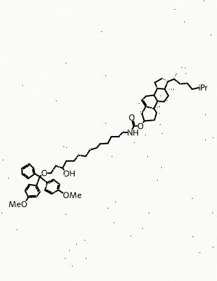 COc1ccc(C(OCCC(O)CCCCCCCCCCCNC(=O)OC2CC[C@@]3(C)C(=CCC4C3CC[C@@]3(C)C4CC[C@@H]3[C@H](C)CCCC(C)C)C2)(c2ccccc2)c2ccc(OC)cc2)cc1